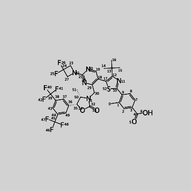 Cc1cc(C(=O)O)ccc1-c1nc(C(C)(C)C)c(-c2cnc(N3CC(F)(F)C3)nc2CN2C(=O)O[C@H](c3cc(C(F)(F)F)cc(C(F)(F)F)c3)[C@@H]2C)s1